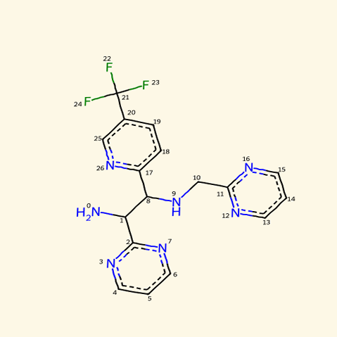 NC(c1ncccn1)C(NCc1ncccn1)c1ccc(C(F)(F)F)cn1